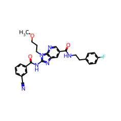 COCCCn1c(NC(=O)c2cccc(C#N)c2)nc2cc(C(=O)NCCc3ccc(F)cc3)cnc21